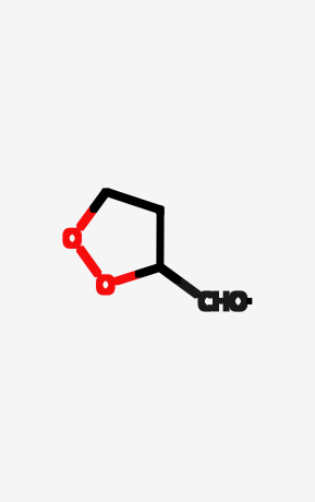 O=[C]C1CCOO1